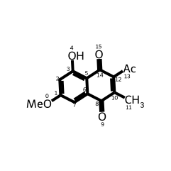 COc1cc(O)c2c(c1)C(=O)C(C)=C(C(C)=O)C2=O